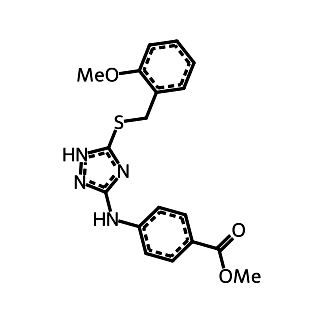 COC(=O)c1ccc(Nc2n[nH]c(SCc3ccccc3OC)n2)cc1